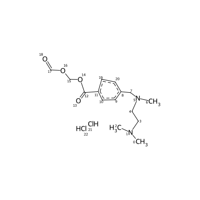 CN(C)CCN(C)Cc1ccc(C(=O)OCOC=O)cc1.Cl.Cl